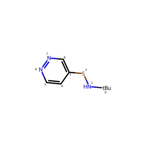 CC(C)(C)NSc1ccnnc1